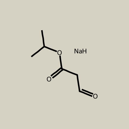 CC(C)OC(=O)CC=O.[NaH]